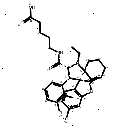 CCN1[C@@H](C(=O)NCCCCC(=O)O)[C@H](c2cccc(Cl)c2F)[C@]2(C(=O)Nc3cc(Cl)ccc32)C12CCCCC2